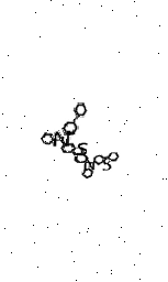 c1ccc(-c2ccc(N(c3ccccc3)c3ccc4c(c3)sc3cc(N(c5ccccc5)c5ccc6c(c5)sc5ccccc56)ccc34)cc2)cc1